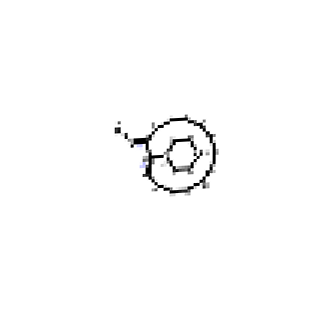 O/N=C1CCCCCCCCCCC\C=C\1N1CCOCC1